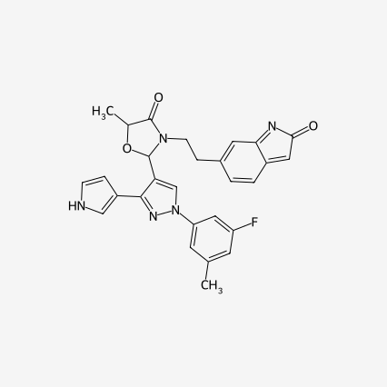 Cc1cc(F)cc(-n2cc(C3OC(C)C(=O)N3CCc3ccc4c(c3)=NC(=O)C=4)c(-c3cc[nH]c3)n2)c1